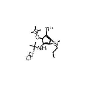 CCC[Si]1(C)C2=[C]([Ti+2])C(O[Si](C)(C)C)C(NC(C)(C)C)=C21.[Cl-].[Cl-]